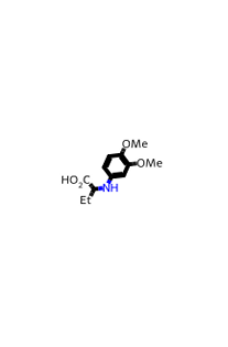 CCC(Nc1ccc(OC)c(OC)c1)C(=O)O